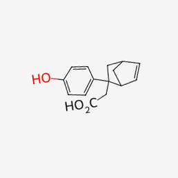 O=C(O)CC1(c2ccc(O)cc2)CC2C=CC1C2